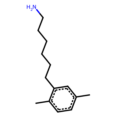 Cc1ccc(C)c(CCCCCCN)c1